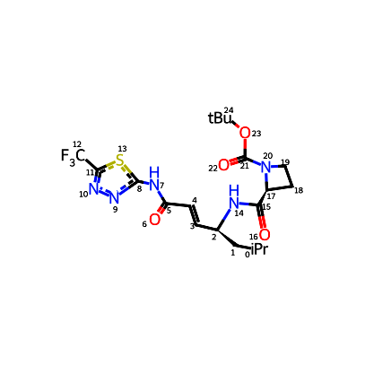 CC(C)C[C@@H](/C=C/C(=O)Nc1nnc(C(F)(F)F)s1)NC(=O)[C@@H]1CCN1C(=O)OC(C)(C)C